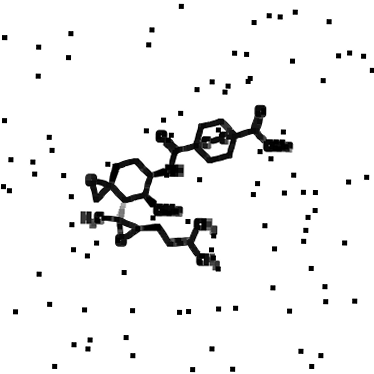 COC(=O)C12CCC(C(=O)N[C@@H]3CC[C@]4(CO4)[C@@H](C4(C)O[C@@H]4CC=C(C)C)[C@@H]3OC)(CC1)CC2